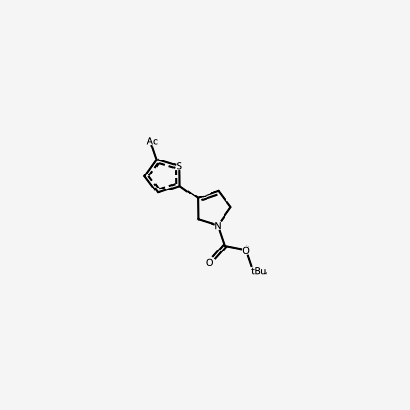 CC(=O)c1ccc(C2=CCN(C(=O)OC(C)(C)C)C2)s1